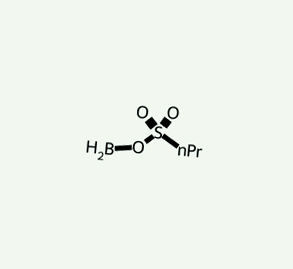 BOS(=O)(=O)CCC